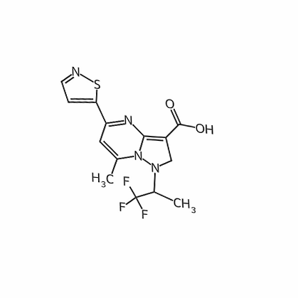 CC1=CC(c2ccns2)=NC2=C(C(=O)O)CN(C(C)C(F)(F)F)N12